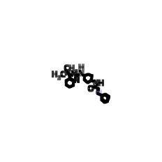 CN(C)c1nc(NC2CCC(NC(=O)/C=C/c3ccccc3)CC2)nc2c1CCCC2